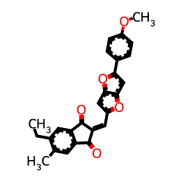 CCc1cc2c(cc1C)C(=O)/C(=C/c1cc3oc(-c4ccc(OC)cc4)cc3o1)C2=O